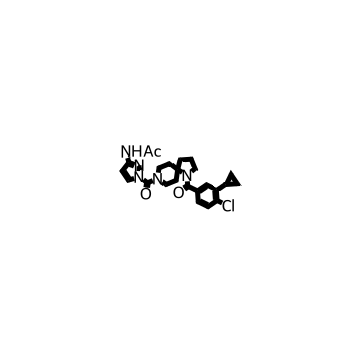 CC(=O)Nc1ccn(C(=O)N2CCC3(CCCN3C(=O)c3ccc(Cl)c(C4CC4)c3)CC2)n1